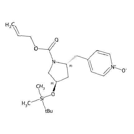 C=CCOC(=O)N1C[C@H](O[Si](C)(C)C(C)(C)C)C[C@H]1Cc1cc[n+]([O-])cc1